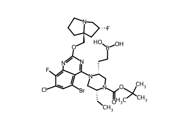 CC[C@@H]1CN(c2nc(OC[C@@]34CCCN3C[C@H](F)C4)nc3c(F)c(Cl)cc(Br)c23)[C@H](CCB(O)O)CN1C(=O)OC(C)(C)C